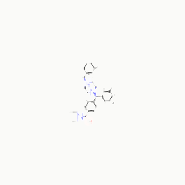 CCN(CC)C(=O)c1ccc(C(c2cccc(C)c2)N2CCN(Cc3ccccc3)CC2)cc1